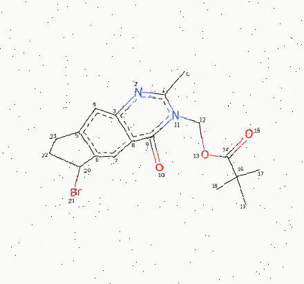 Cc1nc2cc3c(cc2c(=O)n1COC(=O)C(C)(C)C)C(Br)CC3